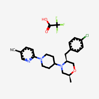 C[C@H]1CN(C2CCN(c3ccc(C#N)cn3)CC2)[C@@H](Cc2ccc(Cl)cc2)CO1.O=C(O)C(F)(F)F